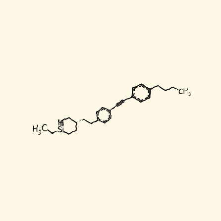 CCCCc1ccc(C#Cc2ccc(CC[C@H]3CC[Si@H](CC)CC3)cc2)cc1